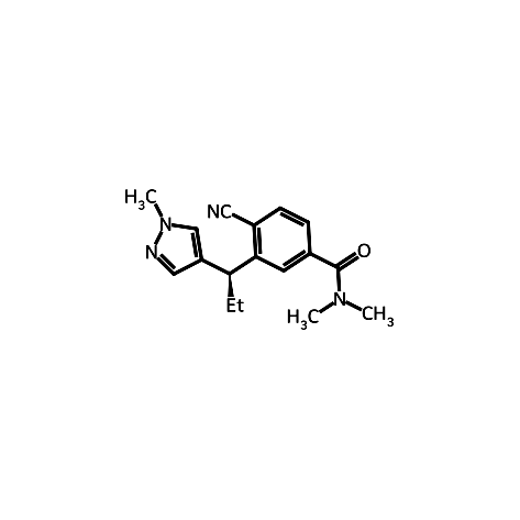 CC[C@@H](c1cnn(C)c1)c1cc(C(=O)N(C)C)ccc1C#N